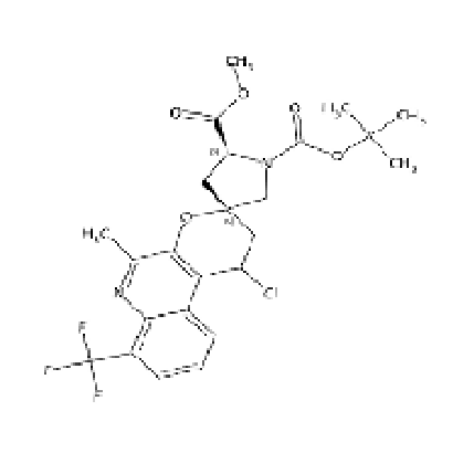 COC(=O)[C@@H]1C[C@]2(CC(Cl)c3c(c(C)nc4c(C(F)(F)F)cccc34)O2)CN1C(=O)OC(C)(C)C